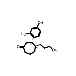 O=C1CCC[C@H](CCCO)[C@@H](c2ccc(O)cc2O)C1